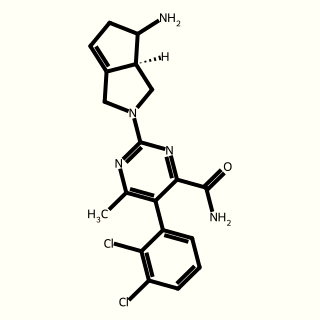 Cc1nc(N2CC3=CCC(N)[C@H]3C2)nc(C(N)=O)c1-c1cccc(Cl)c1Cl